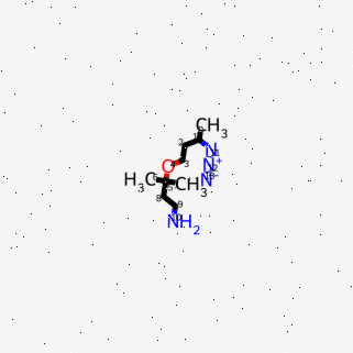 CC(CCOC(C)(C)CCN)N=[N+]=[N-]